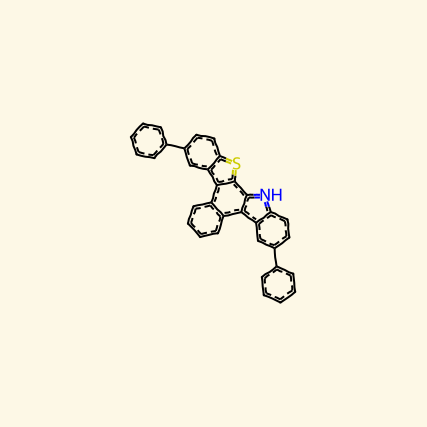 c1ccc(-c2ccc3[nH]c4c5sc6ccc(-c7ccccc7)cc6c5c5ccccc5c4c3c2)cc1